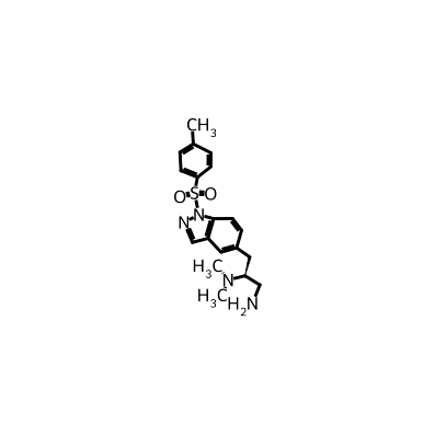 Cc1ccc(S(=O)(=O)n2ncc3cc(C[C@@H](CN)N(C)C)ccc32)cc1